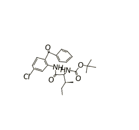 CC[C@H](C)[C@H](NC(=O)OC(C)(C)C)C(=O)Nc1cc(Cl)ccc1C(=O)c1ccccc1